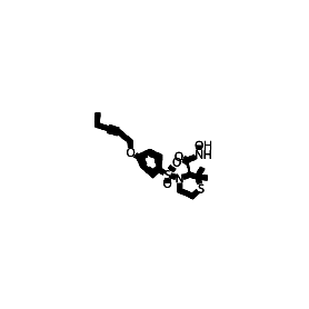 CCC#CCOc1ccc(S(=O)(=O)N2CCSC(C)(C)[C@@H]2C(=O)NO)cc1